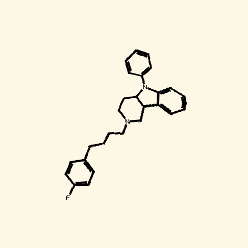 Fc1ccc(CCCCN2CCC3C(C2)c2ccccc2N3c2ccccc2)cc1